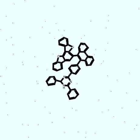 c1ccc(C2=NC(c3ccc(-c4c(-c5cc6c7ccccc7oc6c6c5sc5ccccc56)c5ccccc5c5ccccc45)cc3)=NC(c3ccccc3)N2)cc1